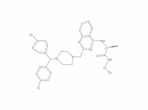 CCONC(=O)[C@@H](Nc1nc(CN2CCN(C(c3ccc(Cl)cc3)c3ccc(Cl)cc3)CC2)nc2ccccc12)C(C)C